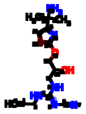 C#CCN/C(=N/C#N)NCC(O)COc1nc(C(C)(C)N)cs1